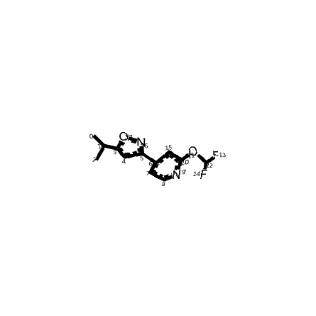 CC(C)c1cc(-c2ccnc(OC(F)F)c2)no1